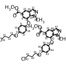 COC(=O)c1cc(Oc2ccc(OCCCCl)cc2)c2c(cnn2C)c1.COC(=O)c1cc(Oc2ccc(OCCCCl)cc2)c2c(cnn2C)c1